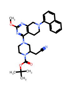 COc1nc2c(c(N3CCN(C(=O)OC(C)(C)C)C(CC#N)C3)n1)CCN(c1cccc3ccccc13)C2